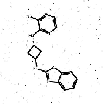 Brc1cncnc1N[C@H]1C[C@H](Nc2nc3ccccc3s2)C1